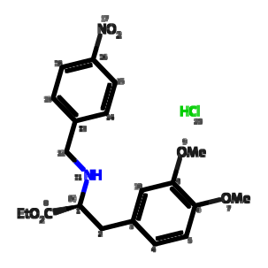 CCOC(=O)[C@H](Cc1ccc(OC)c(OC)c1)NCc1ccc([N+](=O)[O-])cc1.Cl